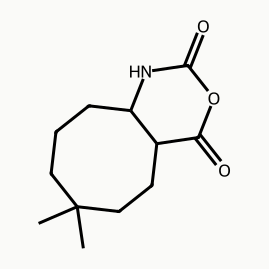 CC1(C)CCCC2NC(=O)OC(=O)C2CC1